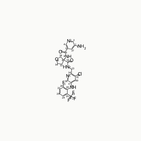 Nc1cncc(C(=O)N[C@@]2(C(=O)NCc3ncc(Nc4c(F)cccc4C(F)(F)F)cc3Cl)CCOC2)c1